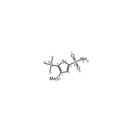 CSc1cc(S(N)(=O)=O)sc1[Si](C)(C)C